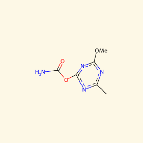 COc1nc(C)nc(OC(N)=O)n1